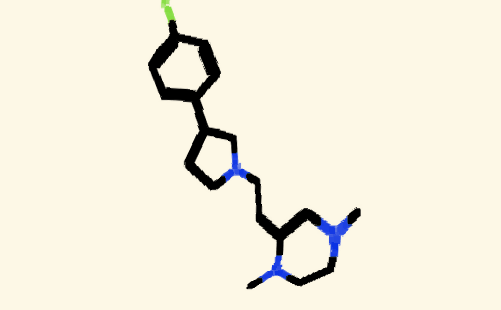 CN1CCN(C)C(CCN2CCC(c3ccc(F)cc3)C2)C1